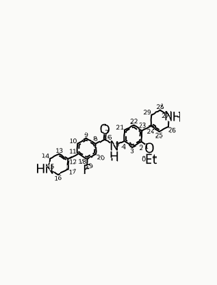 CCOc1cc(NC(=O)c2ccc(C3=CCNCC3)c(F)c2)ccc1C1=CCNCC1